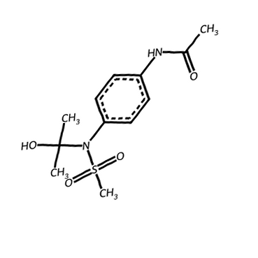 CC(=O)Nc1ccc(N(C(C)(C)O)S(C)(=O)=O)cc1